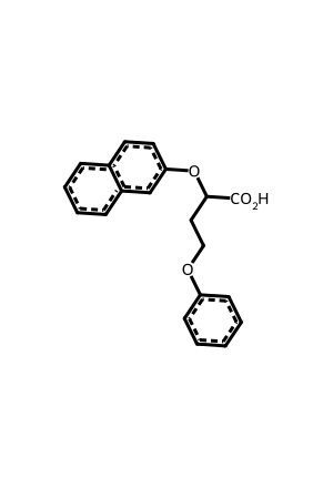 O=C(O)C(CCOc1ccccc1)Oc1ccc2ccccc2c1